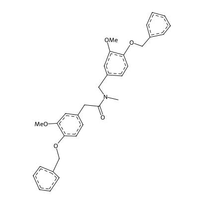 COc1cc(CC(=O)N(C)Cc2ccc(OCc3ccccc3)c(OC)c2)ccc1OCc1ccccc1